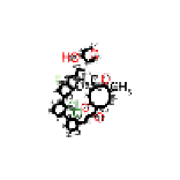 COc1cc(-c2cccc(-c3cccc(/C=C/C(=O)/C4=C/CCC(C)C(=O)C(C)CCC4=O)c3Cl)c2Cl)cc(F)c1CCCC[C@H]1COCC[C@@H]1O